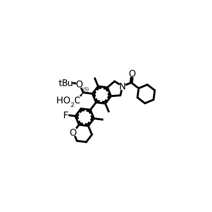 Cc1c(-c2c(C)c3c(c(C)c2[C@H](OC(C)(C)C)C(=O)O)CN(C(=O)C2CCCCC2)C3)cc(F)c2c1CCCO2